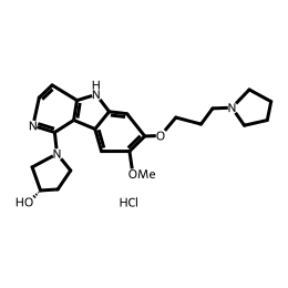 COc1cc2c(cc1OCCCN1CCCC1)[nH]c1ccnc(N3CC[C@H](O)C3)c12.Cl